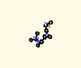 c1ccc(-c2cc(-n3c4ccccc4c4ccc(-c5ccc6c(c5)c5ccccc5n6-c5ccc(-c6ccnc7c6sc6ccccc67)cc5)cc43)nc(-c3ccccc3)n2)cc1